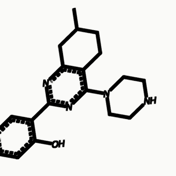 CC1CCc2c(nc(-c3ccccc3O)nc2N2CCNCC2)C1